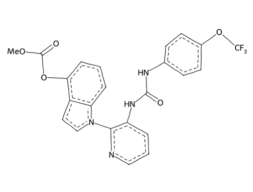 COC(=O)Oc1cccc2c1ccn2-c1ncccc1NC(=O)Nc1ccc(OC(F)(F)F)cc1